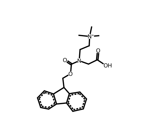 C[N+](C)(C)CCN(CC(=O)O)C(=O)OCC1c2ccccc2-c2ccccc21